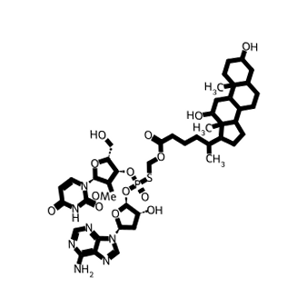 COC1[C@@H](OP(=O)(O[C@H]2O[C@@H](n3cnc4c(N)ncnc43)C[C@H]2O)SCOC(=O)CCCC(C)C2CCC3C4CCC5CC(O)CCC5(C)C4CC(O)C23C)[C@@H](CO)O[C@H]1n1ccc(=O)[nH]c1=O